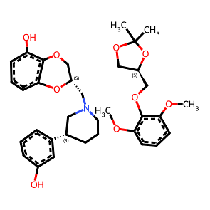 COc1cccc(OC)c1OC[C@H]1COC(C)(C)O1.Oc1cccc([C@H]2CCCN(C[C@H]3COc4c(O)cccc4O3)C2)c1